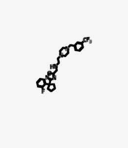 Fc1ccccc1C1(c2noc(CNCCN3CCN(Cc4cccc(C(F)(F)F)c4)CC3)n2)CCCC1